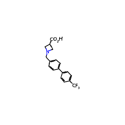 O=C(O)C1CN(Cc2ccc(-c3ccc(C(F)(F)F)cc3)cc2)C1